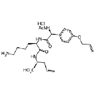 C=CCOc1ccc([C@H](NC(C)=O)C(=O)N[C@H](CCCCN)C(=O)N[C@@H](CC=C)C(=O)O)cc1.Cl